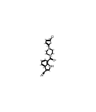 N#Cc1c[nH]c2c(C(=O)N3CCN(c4ccc(Cl)s4)CC3)cccc12